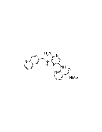 CNC(=O)c1cccnc1Nc1cnc(N)c(NCc2ccc3ncccc3c2)n1